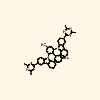 Cc1nc(C)nc(-c2ccc3c(c2)c2ccccc2n3-c2cc(C#N)cc(-n3c4ccccc4c4cc(-c5nc(C)nc(C)n5)ccc43)c2-c2cccc(C#N)c2)n1